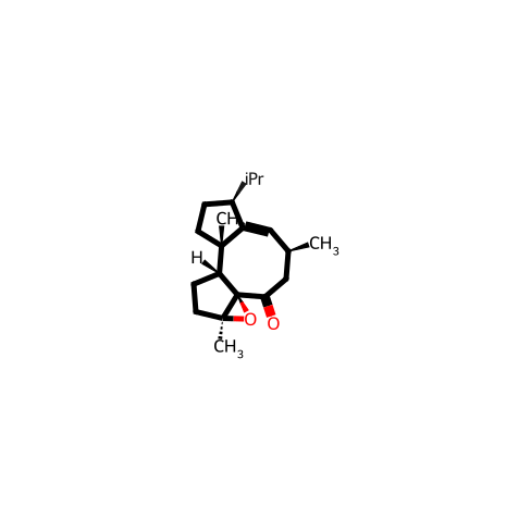 CC(C)[C@@H]1CC[C@]2(C)/C1=C\[C@@H](C)CC(=O)[C@]13O[C@@]1(C)CC[C@@H]32